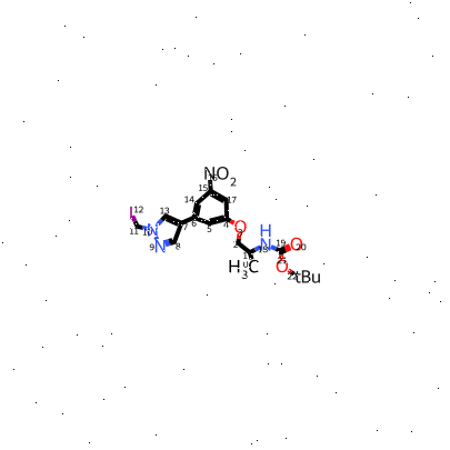 CC(COc1cc(-c2cnn(CI)c2)cc([N+](=O)[O-])c1)NC(=O)OC(C)(C)C